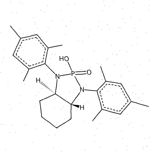 Cc1cc(C)c(N2[C@@H]3CCCC[C@H]3N(c3c(C)cc(C)cc3C)P2(=O)O)c(C)c1